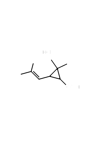 CC(F)=CC1C(C(=O)O)C1(C)C.Cl